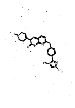 CC(C)n1cc(C(F)(F)F)nc1-c1ccc(Cc2ncc3c(n2)=NC(=O)C(C2=CCN(C)CC2)C=3)cc1